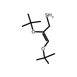 CC(C)(C)OC=C(C[SiH3])OC(C)(C)C